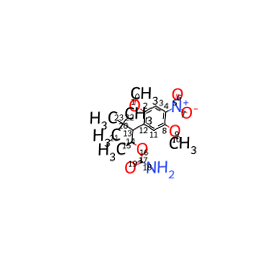 COc1cc([N+](=O)[O-])c(OC)cc1C(C(C)OC(N)=O)C(C)(C)C